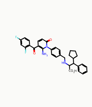 Nc1c(C(=O)c2ccc(F)cc2F)ccc(=O)n1-c1ccc(CNC(C(=O)O)C(c2ccccc2)C2CCCC2)cc1